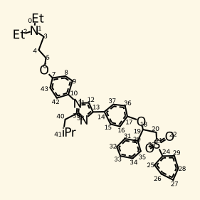 CCN(CC)CCCOc1ccc(-n2cc(-c3ccc(OC(CS(=O)(=O)c4ccccc4)c4ccccc4)cc3)nc2CC(C)C)cc1